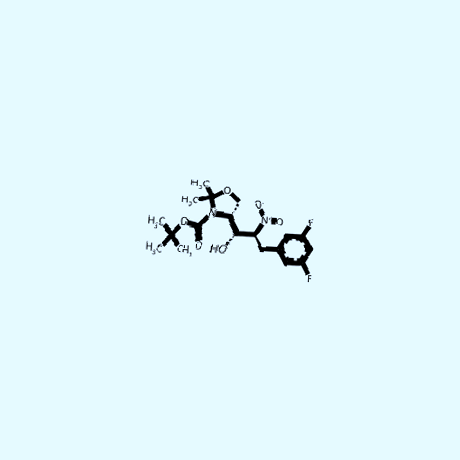 CC(C)(C)OC(=O)N1[C@@H]([C@@H](O)[C@H](Cc2cc(F)cc(F)c2)[N+](=O)[O-])COC1(C)C